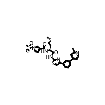 CSCC[C@H](NC(=O)c1ccn(S(C)(=O)=O)c1)C(=O)Nc1nc(-c2cccc(-c3ccnc(C)c3)c2)cs1